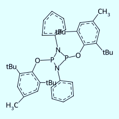 Cc1cc(C(C)(C)C)c(OP2N(c3ccccc3)P(Oc3c(C(C)(C)C)cc(C)cc3C(C)(C)C)N2c2ccccc2)c(C(C)(C)C)c1